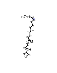 C1COC1.CCCCCCCC/C=C\CCCCCCCC(=O)OCCO